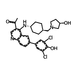 CC(=O)c1cnc2ccc(-c3cc(Cl)c(O)c(Cl)c3)cc2c1N[C@H]1CC[C@H](CN2CCC(O)C2)CC1